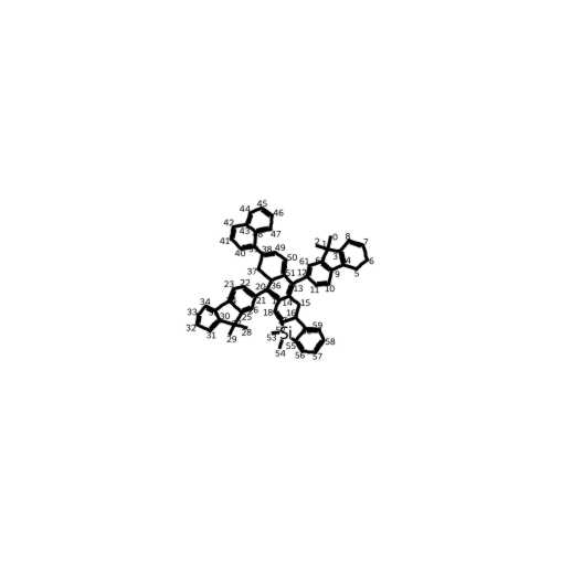 CC1(C)C2=C(CCC=C2)c2ccc(C3=C4CC5C(=CC4=C(c4ccc6c(c4)C(C)(C)c4ccccc4-6)C4CC(c6cccc7ccccc67)=CC=C34)[Si](C)(C)c3ccccc35)cc21